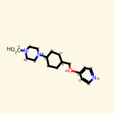 O=C(O)N1CCN(C2CCC(COc3ccncc3)CC2)CC1